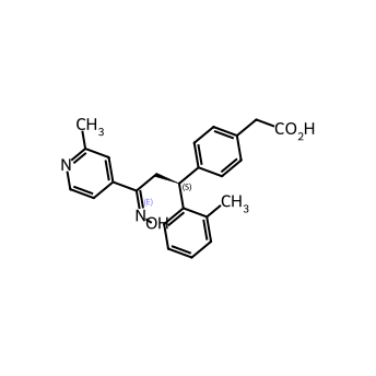 Cc1cc(/C(C[C@@H](c2ccc(CC(=O)O)cc2)c2ccccc2C)=N/O)ccn1